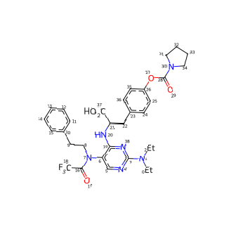 CCN(CC)c1ncc(N(CCc2ccccc2)C(=O)C(F)(F)F)c(NC(Cc2ccc(OC(=O)N3CCCC3)cc2)C(=O)O)n1